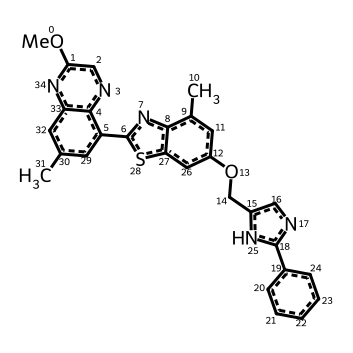 COc1cnc2c(-c3nc4c(C)cc(OCc5cnc(-c6ccccc6)[nH]5)cc4s3)cc(C)cc2n1